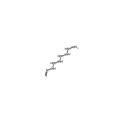 C=NNNNNNNN